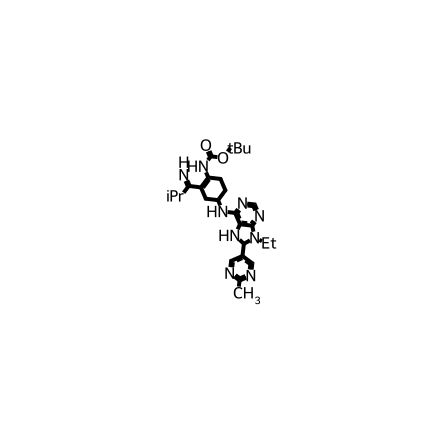 CCN1c2ncnc(NC3CCC(NC(=O)OC(C)(C)C)=C(C(=N)C(C)C)C3)c2NC1c1cnc(C)nc1